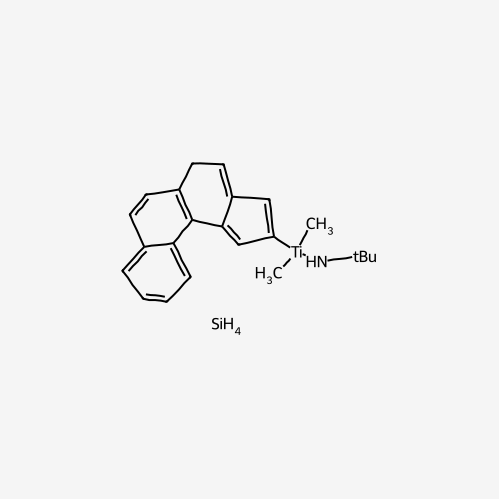 CC(C)(C)[NH][Ti]([CH3])([CH3])[C]1=CC2=CCc3ccc4ccccc4c3C2=C1.[SiH4]